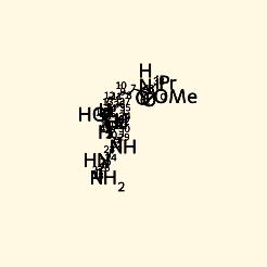 COC(=O)[C@@H](NC(=O)CC[C@@H](C)[C@H]1CC[C@H]2[C@@H]3[C@H](O)C[C@@H]4C[C@@H](NCCNCCN)CC[C@]4(C)[C@H]3CC[C@]12C)C(C)C